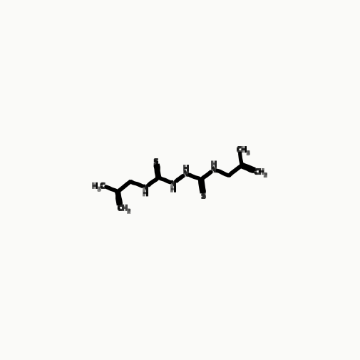 C=C(C)CNC(=S)NNC(=S)NCC(=C)C